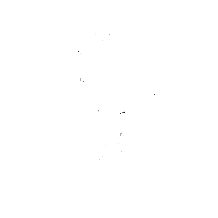 CN(C(=O)Oc1ccc(F)cc1)[C@@H]1CN(C(=O)C2CCN(C(=O)c3ccc(C(F)(F)F)cn3)CC2)C[C@H]1c1ccc(F)cc1